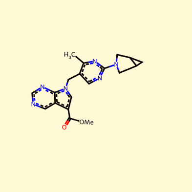 COC(=O)c1cn(Cc2cnc(N3CC4CC4C3)nc2C)c2ncncc12